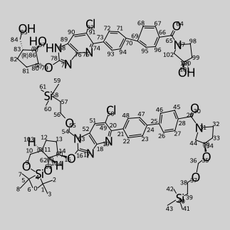 CC(C)(C)[Si]1(C(C)(C)C)OC[C@H]2CC[C@@H](Oc3nc4nc(-c5ccc(-c6ccc(C(=O)N7CC[C@@H](OCOCC[Si](C)(C)C)C7)cc6)cc5)c(Cl)cc4n3COCC[Si](C)(C)C)[C@@H]2O1.O=C(c1ccc(-c2ccc(-c3nc4nc(O[C@@H]5CC[C@H](CO)[C@H]5O)[nH]c4cc3Cl)cc2)cc1)N1CC[C@@H](O)C1